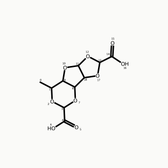 CC1OC(C(=O)O)OC2C1OC1OC(C(=O)O)OC12